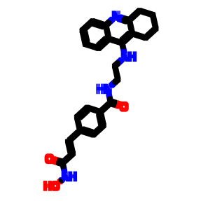 O=C(/C=C/c1ccc(C(=O)NCCNc2c3c(nc4ccccc24)CCCC3)cc1)NO